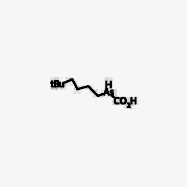 CC(C)(C)CCCC[AsH]C(=O)O